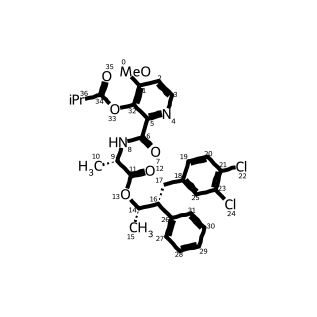 COc1ccnc(C(=O)N[C@@H](C)C(=O)O[C@@H](C)[C@H](Cc2ccc(Cl)c(Cl)c2)c2ccccc2)c1OC(=O)C(C)C